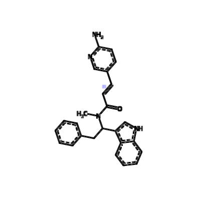 CN(C(=O)/C=C/c1ccc(N)nc1)C(Cc1ccccc1)c1c[nH]c2ccccc12